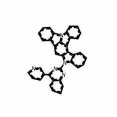 c1cncc(-c2nc(-n3c4ccccc4c4c5c6ccccc6n6c7ccccc7c(cc43)c56)nc3ccccc23)c1